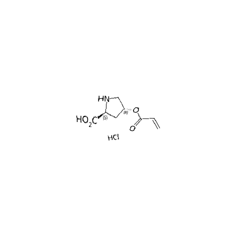 C=CC(=O)O[C@H]1CN[C@H](C(=O)O)C1.Cl